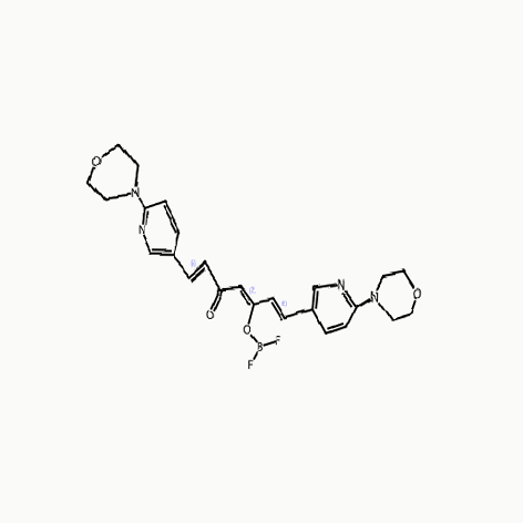 O=C(/C=C(/C=C/c1ccc(N2CCOCC2)nc1)OB(F)F)/C=C/c1ccc(N2CCOCC2)nc1